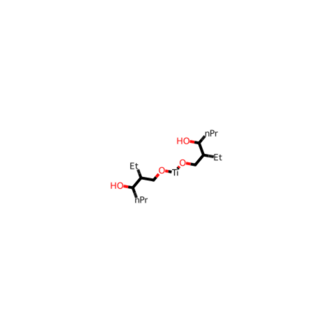 CCCC(O)C(CC)C[O][Ti][O]CC(CC)C(O)CCC